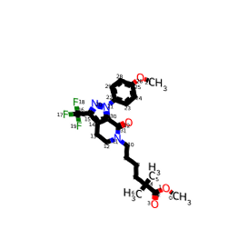 COC(=O)C(C)(C)CCCCN1CCc2c(C(F)(F)F)nn(-c3ccc(OC)cc3)c2C1=O